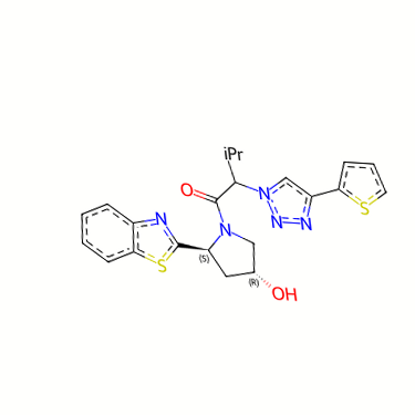 CC(C)C(C(=O)N1C[C@H](O)C[C@H]1c1nc2ccccc2s1)n1cc(-c2cccs2)nn1